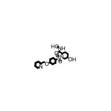 O=C(NO)C1CCC(O)CN1S(=O)(=O)c1ccc(OCc2ccccn2)cc1